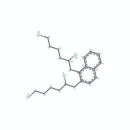 ClCCCCC(Cl)Cc1ccc2ccccc2c1CC(Cl)CCCCCl